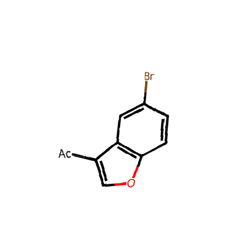 CC(=O)c1coc2ccc(Br)cc12